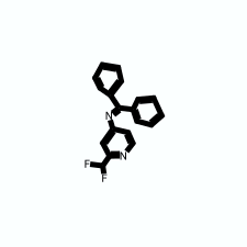 FC(F)c1cc(N=C(c2ccccc2)c2ccccc2)ccn1